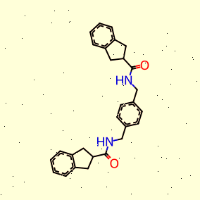 O=C(NCc1ccc(CNC(=O)C2Cc3ccccc3C2)cc1)C1Cc2ccccc2C1